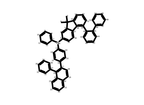 CC1(C)c2cc(N(c3ccccc3)c3ccc(-c4ccc5ccccc5c4-c4ccccc4)cc3)ccc2-c2c(-c3ccccc3-c3ccccc3)cccc21